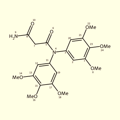 COc1cc(N(C(=O)CC(N)=O)c2cc(OC)c(OC)c(OC)c2)cc(OC)c1OC